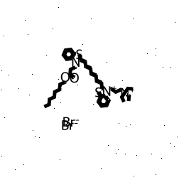 CCCCCCCCOC(=O)CCN1C(=CC=CC=CC=Cc2sc3ccccc3[n+]2CCC[N+](CC)(CC)CC)Sc2ccccc21.[Br-].[Br-]